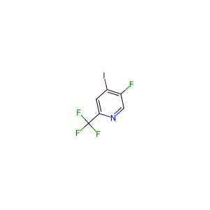 Fc1cnc(C(F)(F)F)cc1I